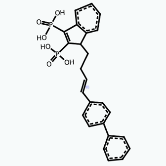 O=P(O)(O)C1=C(P(=O)(O)O)C(CC/C=C/c2ccc(-c3ccccc3)cc2)c2ccccc21